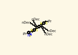 CCCCCCCCCCCCCCCCC1(CCCCCCCCCCCCCCCC)c2cc3c(cc2-c2sc4cc5cc(-c6ccc(C(C)C)c7nsnc67)sc5cc4c21)C(CCCCCCCCCCCCCCCC)(CCCCCCCCCCCCCCCC)c1c-3sc2cc3cc(C(C)C)sc3cc12